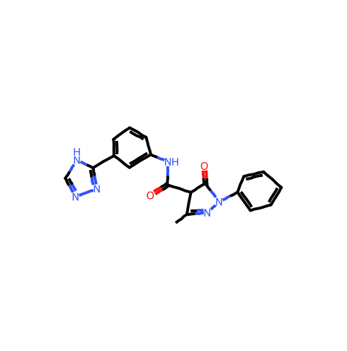 CC1=NN(c2ccccc2)C(=O)C1C(=O)Nc1cccc(-c2nnc[nH]2)c1